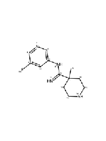 CC1(C(=N)Nc2cncc(F)c2)CCNCC1